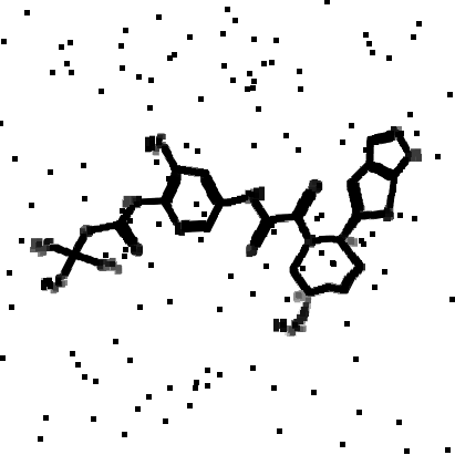 Cc1cc(NC(=O)C(=O)N2C[C@@H](C)CC[C@@H]2c2cc3cn[nH]c3s2)cnc1NC(=O)OC(C)(C)C